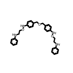 B(OCCNc1ccccc1)c1ccc(COCc2ccc(BOCCNc3ccccc3)cc2)cc1